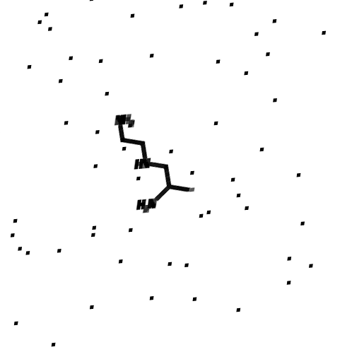 [CH2]C(N)CNCCN